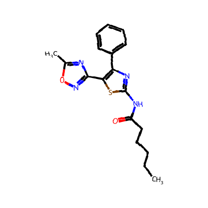 CCCCCC(=O)Nc1nc(-c2ccccc2)c(-c2noc(C)n2)s1